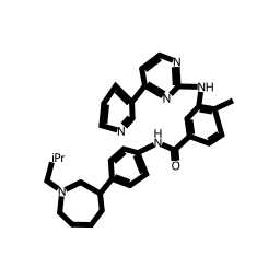 Cc1ccc(C(=O)Nc2ccc(C3CCCCN(CC(C)C)C3)cc2)cc1Nc1nccc(-c2cccnc2)n1